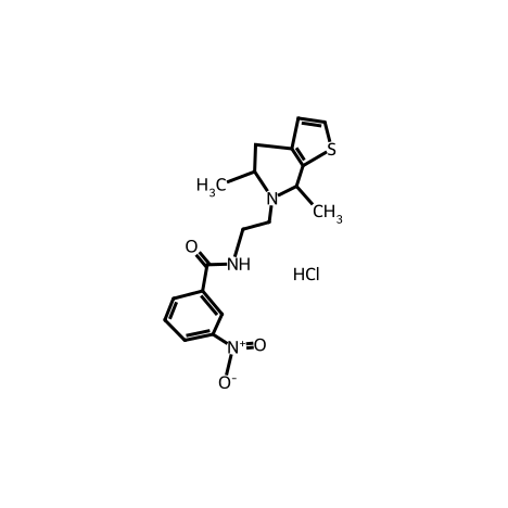 CC1Cc2ccsc2C(C)N1CCNC(=O)c1cccc([N+](=O)[O-])c1.Cl